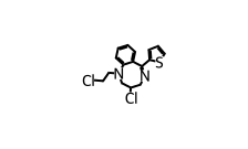 ClCCN1CC(Cl)C/N=C(/c2cccs2)c2ccccc21